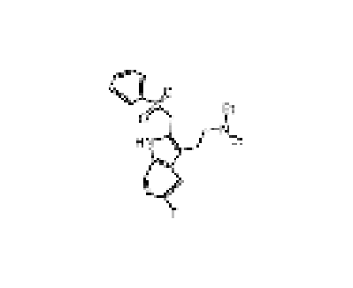 CCN(CC)CCc1c(CS(=O)(=O)c2ccccc2)[nH]c2ccc(F)cc12